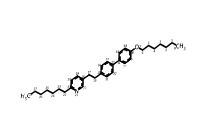 CCCCCCCOc1ccc(-c2ccc(CCc3ccc(CCCCCCC)nc3)cc2)cc1